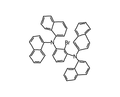 Brc1c(N(c2ccc3ccccc3c2)c2cccc3ccccc23)cccc1N(c1cccc2ccccc12)c1cccc2ccccc12